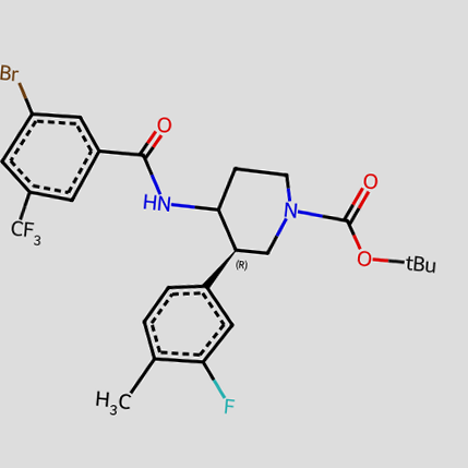 Cc1ccc([C@@H]2CN(C(=O)OC(C)(C)C)CCC2NC(=O)c2cc(Br)cc(C(F)(F)F)c2)cc1F